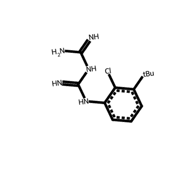 CC(C)(C)c1cccc(NC(=N)NC(=N)N)c1Cl